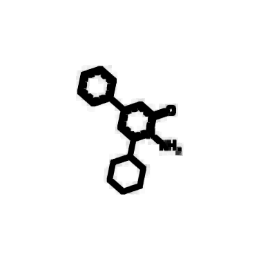 Nn1c(C2CCCCC2)cc(-c2ccccc2)cc1=O